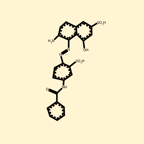 Nc1ccc2cc(S(=O)(=O)O)cc(O)c2c1/N=N/c1ccc(NC(=O)c2ccccc2)cc1S(=O)(=O)O